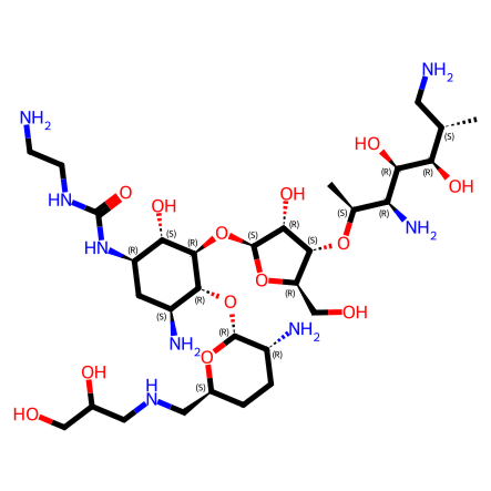 C[C@H](O[C@H]1[C@@H](O)[C@H](O[C@@H]2[C@@H](O)[C@H](NC(=O)NCCN)C[C@H](N)[C@H]2O[C@H]2O[C@H](CNCC(O)CO)CC[C@H]2N)O[C@@H]1CO)[C@H](N)[C@@H](O)[C@H](O)[C@@H](C)CN